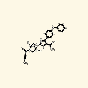 CC#CC(=O)N1C[C@@H]2C[C@H]1CN2c1nc(-c2ccc(Oc3ccccc3)cc2)c(C(N)=O)s1